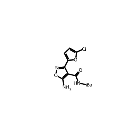 CCC(C)NC(=O)c1c(-c2ccc(Cl)o2)noc1N